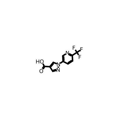 O=C(O)c1cnn(-c2ccc(C(F)(F)F)nc2)c1